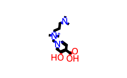 CN(C)CCC[N+](C)(C)C[n+]1ccc(C(=O)O)c(O)c1